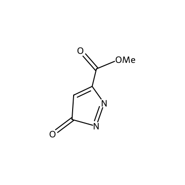 COC(=O)C1=CC(=O)N=N1